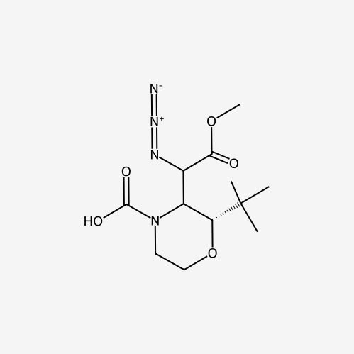 COC(=O)C(N=[N+]=[N-])C1[C@H](C(C)(C)C)OCCN1C(=O)O